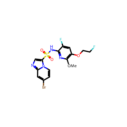 COc1nc(NS(=O)(=O)c2cnc3cc(Br)ccn23)c(F)cc1OCCF